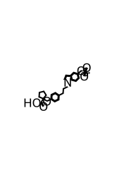 CS(=O)(=O)Oc1ccc2c(ccn2CCCc2ccc(OC3(C(=O)O)CCCC3)cc2)c1